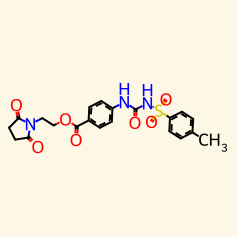 Cc1ccc(S(=O)(=O)NC(=O)Nc2ccc(C(=O)OCCN3C(=O)CCC3=O)cc2)cc1